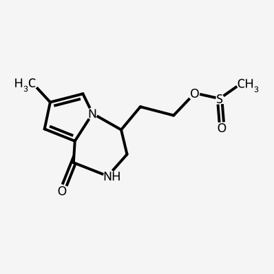 Cc1cc2n(c1)C(CCOS(C)=O)CNC2=O